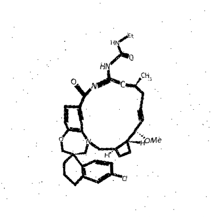 CCNC(=O)N/C1=N/C(=O)c2ccc3c(c2)N(C[C@@H]2CC[C@H]2[C@@H](OC)/C=C/C[C@H](C)C1)C[C@@]1(CCCc2cc(Cl)ccc21)CO3